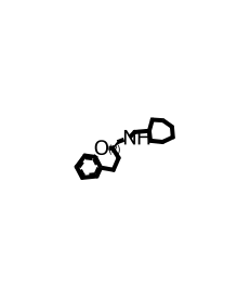 c1ccc2c(c1)CC[C@H](CNCC1CCCCCC1)O2